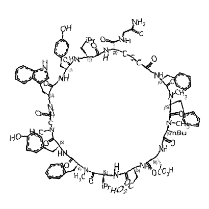 CCCC[C@H]1C(=O)N[C@H](CC(=O)O)C(=O)N[C@@H](CC(=O)O)C(=O)N[C@@H](C(C)C)C(=O)N(C)[C@@H](Cc2ccccc2)C(=O)N[C@@H](Cc2ccc(O)cc2)C(=O)N(C)CC(=O)N[C@@H](Cc2c[nH]c3ccccc23)C(=O)N[C@@H](Cc2ccc(O)cc2)C(=O)N[C@@H](CC(C)C)C(=O)N[C@H](C(=O)NCC(N)=O)CSCC(=O)N[C@@H](Cc2ccccc2)C(=O)N(C)[C@@H](Cc2ccccc2)C(=O)N1C